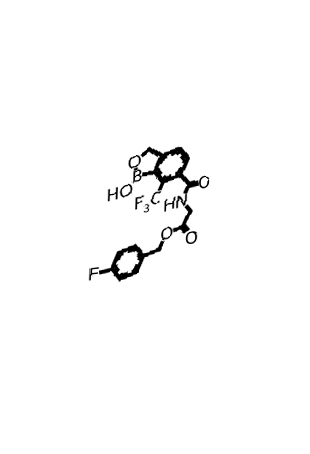 O=C(CNC(=O)c1ccc2c(c1C(F)(F)F)B(O)OC2)OCc1ccc(F)cc1